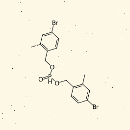 Cc1cc(Br)ccc1CO[PH](=O)OCc1ccc(Br)cc1C